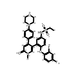 CCS(=O)(=O)Nc1ccc(Oc2ccc(F)cc2F)c(-c2cn(C)c(=O)cc2-c2ccc(N3CCOCC3)cc2)c1